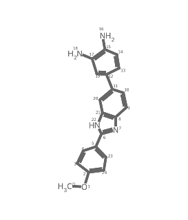 COc1ccc(-c2nc3ccc(-c4ccc(N)c(N)c4)cc3[nH]2)cc1